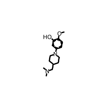 COc1ccc(N2CCC(CN(C)C)CC2)cc1O